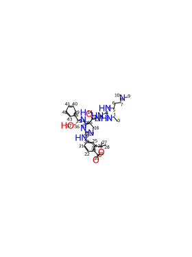 CCN=C(NCCCN(C)C)NNC(=O)c1cnc(Nc2ccc3c(c2)C(C)(C)OC3=O)nc1N[C@H](CO)c1ccccc1